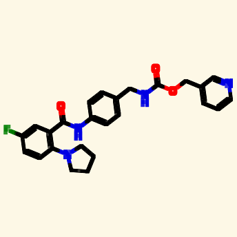 O=C(NCc1ccc(NC(=O)c2cc(F)ccc2N2CCCC2)cc1)OCc1cccnc1